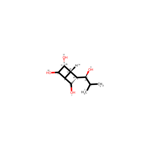 CC(C)[C@H](O)[C@@H]1C(O)C2C(O)[C@H](O)[C@@H]21